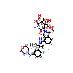 BC(B)(Nc1cccc2c1CN(C1(O)C(=O)NC(=O)C(B)(O)C1(B)O)C2=O)c1cc(CN2CCOCC2)ccc1F